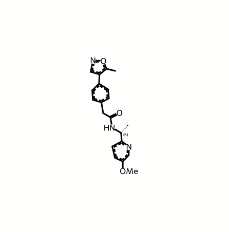 COc1ccc([C@@H](C)NC(=O)Cc2ccc(-c3cnoc3C)cc2)nc1